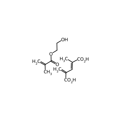 C=C(C)C(=O)OCCO.C=C(C=C(C)C(=O)O)C(=O)O